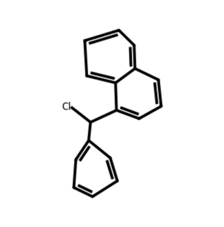 ClC(c1ccccc1)c1cccc2ccccc12